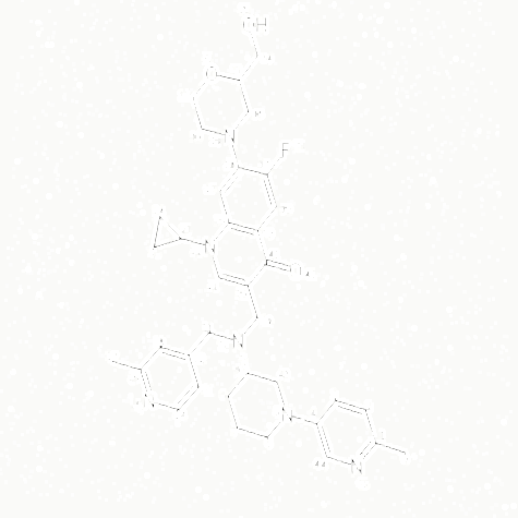 Cc1ccc(N2CCC[C@H](N(Cc3ccnc(C)c3)Cc3cn(C4CC4)c4cc(N5CCOC(CO)C5)c(F)cc4c3=O)C2)cn1